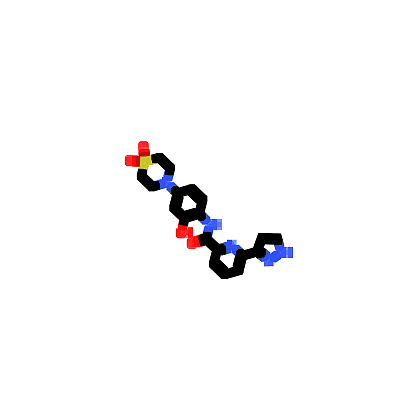 O=C(Nc1ccc(N2CCS(=O)(=O)CC2)cc1O)c1cccc(-c2cc[nH]n2)n1